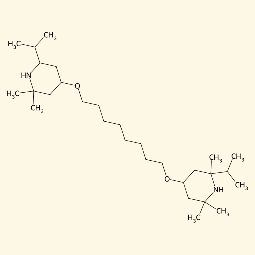 CC(C)C1CC(OCCCCCCCCOC2CC(C)(C)NC(C)(C(C)C)C2)CC(C)(C)N1